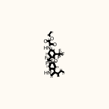 CCOC(=O)C(=O)Nc1cc(C(F)(F)F)c(Oc2ccc3[nH]cc(C(C)CC)c3c2)c(C(F)(F)F)c1